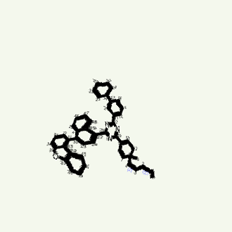 C/C=C\C=C/C1(C)C=CC(c2nc(-c3cccc(-c4ccccc4)c3)nc(-c3ccc(-c4cccc5oc6ccccc6c45)c4ccccc34)n2)=CC1